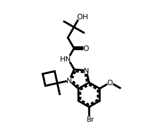 COc1cc(Br)cc2c1nc(NC(=O)CC(C)(C)O)n2C1(C)CCC1